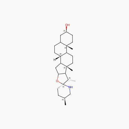 C[C@H]1CC[C@]2(NC1)OC1CC3[C@@H]4CCC5C[C@@H](O)CC[C@]5(C)C4CC[C@]3(C)C1[C@@H]2C